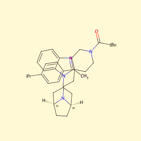 Cc1nc2ccccc2n1C1C[C@H]2CC[C@@H](C1)N2CCC1(c2ccc(C(C)C)cc2)CCN(C(=O)C(C)(C)C)CC1